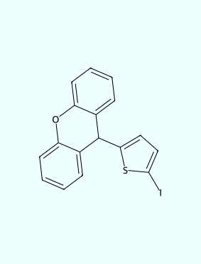 Ic1ccc(C2c3ccccc3Oc3ccccc32)s1